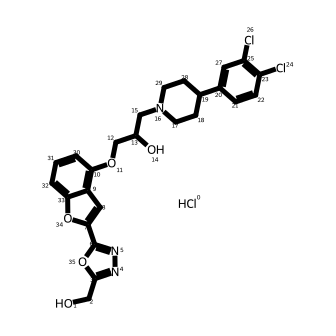 Cl.OCc1nnc(-c2cc3c(OCC(O)CN4CCC(c5ccc(Cl)c(Cl)c5)CC4)cccc3o2)o1